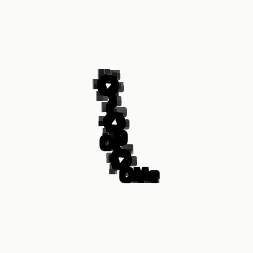 COc1ccc(C(=O)Oc2ccc(/C=C/c3ccccc3)cc2)cc1